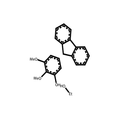 CCO.COc1cccc(O)c1OC.c1ccc2c(c1)Cc1ccccc1-2